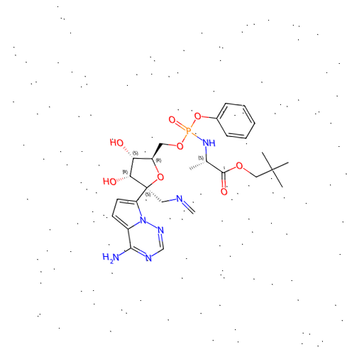 C=NC[C@@]1(c2ccc3c(N)ncnn23)O[C@H](COP(=O)(N[C@@H](C)C(=O)OCC(C)(C)C)Oc2ccccc2)[C@@H](O)[C@H]1O